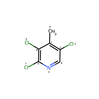 Cc1c(Cl)cnc(Cl)c1Cl